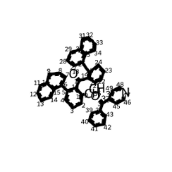 Cc1cccc(-c2cccc3ccccc23)c1C(=O)c1c(C)cccc1-c1cccc2ccccc12.O=C(c1ccccc1)c1ccncc1